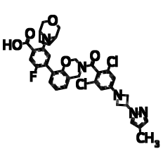 Cc1cnn(C2CN(c3cc(Cl)c(C(=O)N4COc5c(cccc5-c5cc(N6C7CCC6COC7)c(C(=O)O)cc5F)C4)c(Cl)c3)C2)c1